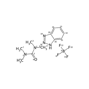 CN(C)C(=O)N(C)C.F[B-](F)(F)F.c1ccc2[nH]nnc2c1